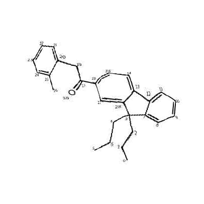 CCCC1(CCC)c2ccccc2-c2ccc(C(=O)Cc3ccccc3C)cc21